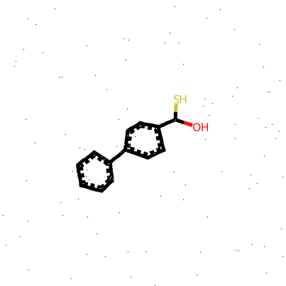 OC(S)c1ccc(-c2ccccc2)cc1